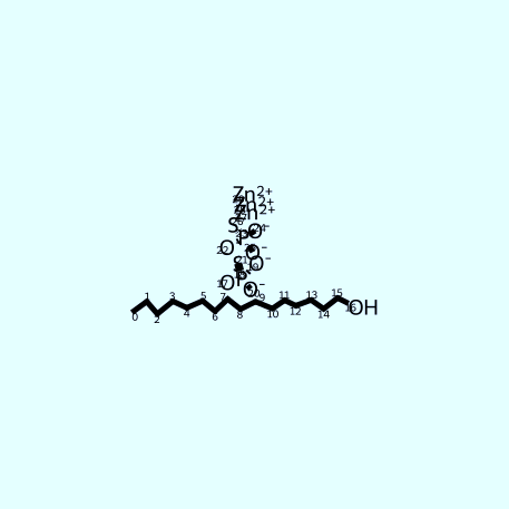 CCCCCCCCCCCCCCCCO.[O-]P([O-])([O-])=S.[O-]P([O-])([O-])=S.[Zn+2].[Zn+2].[Zn+2]